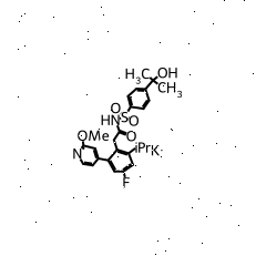 COc1cc(-c2cc(F)cc(C(C)C)c2CC(=O)NS(=O)(=O)c2ccc(C(C)(C)O)cc2)ccn1.[K]